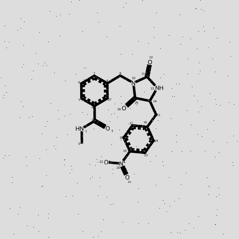 CNC(=O)c1cccc(CN2C(=O)NC(Cc3ccc([N+](=O)[O-])cc3)C2=O)c1